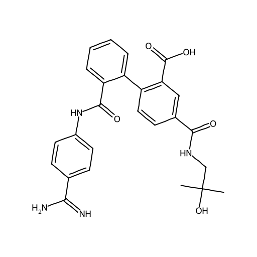 CC(C)(O)CNC(=O)c1ccc(-c2ccccc2C(=O)Nc2ccc(C(=N)N)cc2)c(C(=O)O)c1